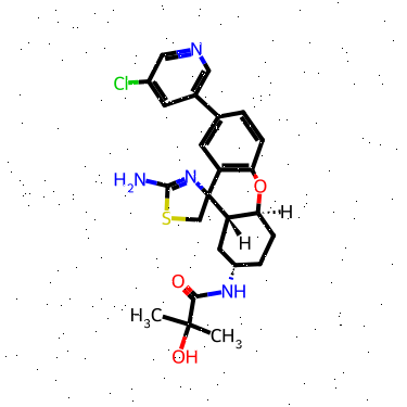 CC(C)(O)C(=O)N[C@H]1CC[C@@H]2Oc3ccc(-c4cncc(Cl)c4)cc3C3(CSC(N)=N3)[C@H]2C1